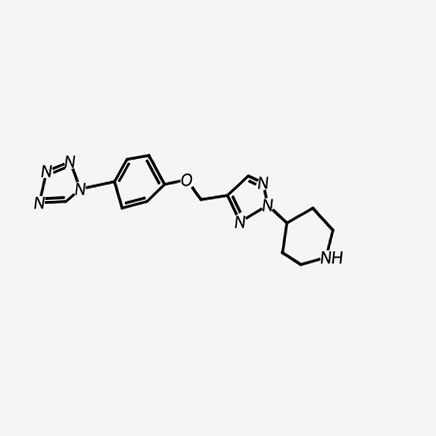 c1cc(-n2cnnn2)ccc1OCc1cnn(C2CCNCC2)n1